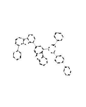 c1ccc(-c2ccc(-c3nc(-c4ccccc4)nc(-c4cc(-c5cccc6c5sc5c(-c7ccccc7)cccc56)cc5oc6ccccc6c45)n3)cc2)cc1